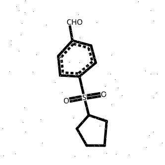 O=Cc1ccc(S(=O)(=O)C2CCCC2)cc1